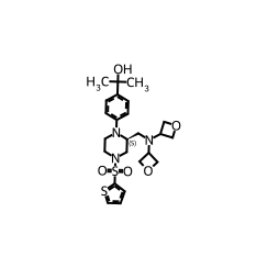 CC(C)(O)c1ccc(N2CCN(S(=O)(=O)c3cccs3)C[C@@H]2CN(C2COC2)C2COC2)cc1